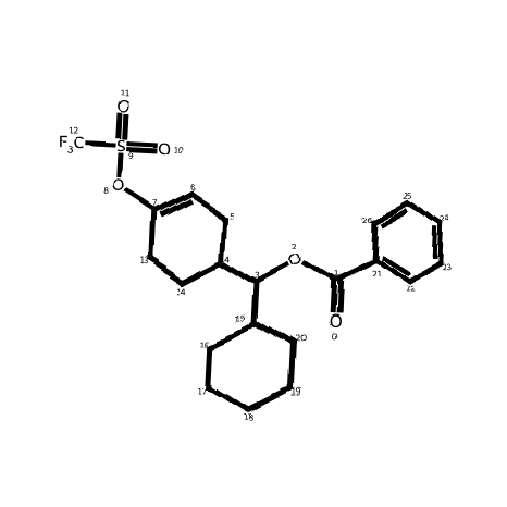 O=C(OC(C1CC=C(OS(=O)(=O)C(F)(F)F)CC1)C1CCCCC1)c1ccccc1